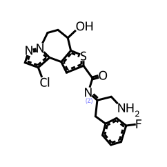 NC/C(Cc1cccc(F)c1)=N\C(=O)c1cc2c(s1)C(O)CCn1ncc(Cl)c1-2